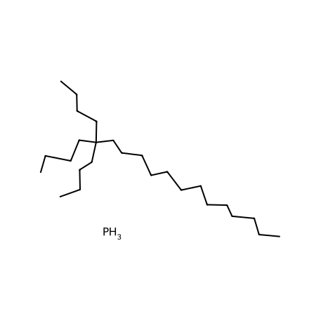 CCCCCCCCCCCCCC(CCCC)(CCCC)CCCC.P